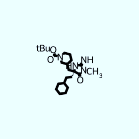 CN1C(=N)N[C@](CCC2CCCCC2)(CC2CCCN(C(=O)OC(C)(C)C)C2)C1=O